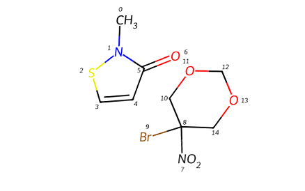 Cn1sccc1=O.O=[N+]([O-])C1(Br)COCOC1